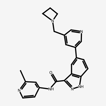 Cc1cc(NC(=O)c2n[nH]c3ccc(-c4cncc(CN5CCC5)c4)cc23)ccn1